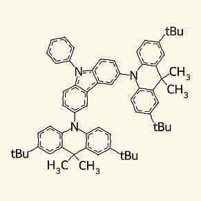 CC(C)(C)c1ccc2c(c1)C(C)(C)c1cc(C(C)(C)C)ccc1N2c1ccc2c(c1)c1cc(N3c4ccc(C(C)(C)C)cc4C(C)(C)c4cc(C(C)(C)C)ccc43)ccc1n2-c1ccccc1